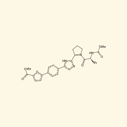 COC(=O)N[C@H](C(=O)N1CCCC1c1ncc(-c2ccc(-c3ccc(C(=O)OC)o3)cc2)[nH]1)C(C)C